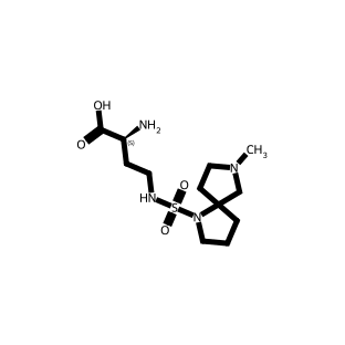 CN1CCC2(CCCN2S(=O)(=O)NCC[C@H](N)C(=O)O)C1